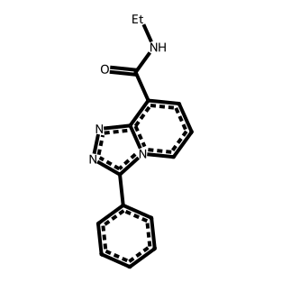 CCNC(=O)c1cccn2c(-c3ccccc3)nnc12